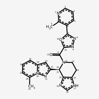 Cc1ncccc1-c1nnc(C(=O)N2CCc3[nH]cnc3[C@H]2c2cc3cccc(C)n3n2)o1